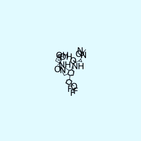 Cc1noc([C@H]2C[C@H]2C(=O)NCc2ccc(-c3cccc(OC(F)(F)F)c3)c3c2CN(C(=O)NC2(C)CCS(O)(O)C2)CC3)n1